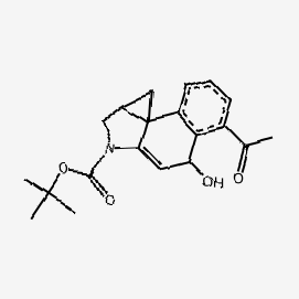 CC(=O)c1cccc2c1C(O)C=C1N(C(=O)OC(C)(C)C)CC3CC123